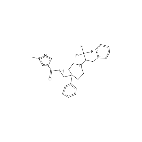 Cn1cc(C(=O)NCC2(c3ccccc3)CCN(C(Cc3ccccc3)C(F)(F)F)CC2)cn1